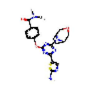 CN(C)C(=O)c1ccc(Oc2nc(-c3cnc(N)s3)nc(N3C4CCC3COC4)n2)cc1